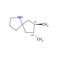 C[C@@H]1CC2(CCCN2)C[C@H]1C